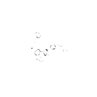 CC(C)OC(=O)Nc1ccc(-c2ncc(-c3ccc(NC(=O)OCc4ccccc4)cc3S(=O)(=O)NC(C)(C)C)s2)cc1F